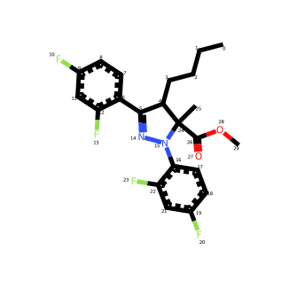 CCCCC1C(c2ccc(F)cc2F)=NN(c2ccc(F)cc2F)C1(C)C(=O)OC